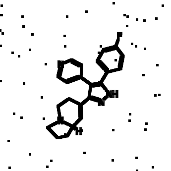 Fc1ccc(-c2[nH]nc(C3=C[C@@H]4CCCN4CC3)c2-c2ccncc2)cc1